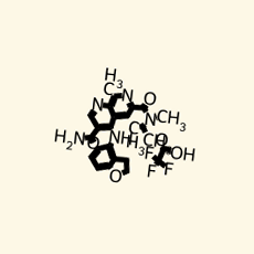 Cc1nc(C(=O)N(C)C(C)C)cc2c(Nc3cccc4c3CCO4)c(C(N)=O)cnc12.O=C(O)C(F)(F)F